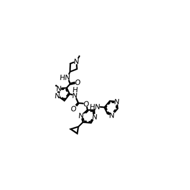 CN1CC(NC(=O)c2c(NC(=O)Oc3nc(C4CC4)cnc3Nc3cncnc3)cnn2C)C1